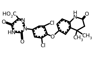 CC1(C)CC(=O)Nc2ccc(Oc3c(Cl)cc(-n4nc(C(=O)O)c(=O)[nH]c4=O)cc3Cl)cc21